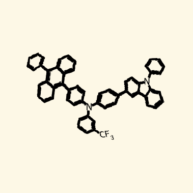 FC(F)(F)c1cccc(N(c2ccc(-c3ccc4c(c3)c3ccccc3n4-c3ccccc3)cc2)c2ccc(-c3c4ccccc4c(-c4ccccc4)c4ccccc34)cc2)c1